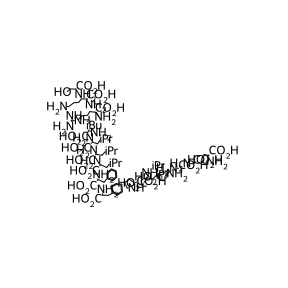 CC(C)C[C@H](N)C(=O)O.CC(C)C[C@H](N)C(=O)O.CC(C)C[C@H](N)C(=O)O.CC(C)C[C@H](N)C(=O)O.CC(C)[C@H](N)C(=O)O.CC[C@H](C)[C@H](N)C(=O)O.N=C(N)NCCC[C@H](N)C(=O)O.NCC(=O)O.NCC(=O)O.NCCCC[C@H](N)C(=O)O.N[C@@H](CO)C(=O)O.N[C@@H](CO)C(=O)O.N[C@@H](Cc1ccccc1)C(=O)O.N[C@@H](Cc1ccccc1)C(=O)O.O=C(O)[C@@H]1CCCN1